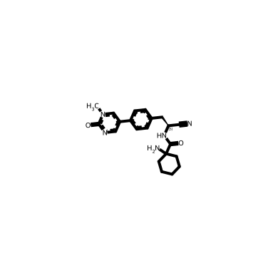 Cn1cc(-c2ccc(C[C@@H](C#N)NC(=O)C3(N)CCCCC3)cc2)cnc1=O